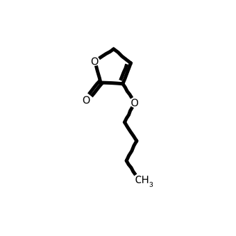 CCCCOC1=CCOC1=O